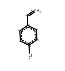 C=Cc1[c]cc(CC)cc1